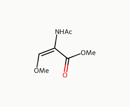 COC=C(NC(C)=O)C(=O)OC